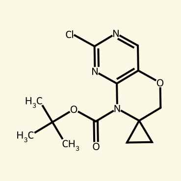 CC(C)(C)OC(=O)N1c2nc(Cl)ncc2OCC12CC2